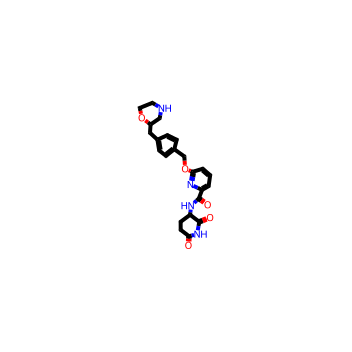 O=C1CCC(NC(=O)c2cccc(OCc3ccc(CC4CNCCO4)cc3)n2)C(=O)N1